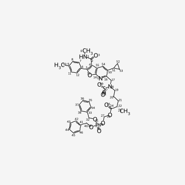 CNC(=O)c1c(-c2ccc(C)cc2)oc2nc(CN(CCC[C@H](C)C(=O)OCOP(=O)(OCc3ccccc3)OCc3ccccc3)[SH](=O)=O)c(C3CC3)cc12